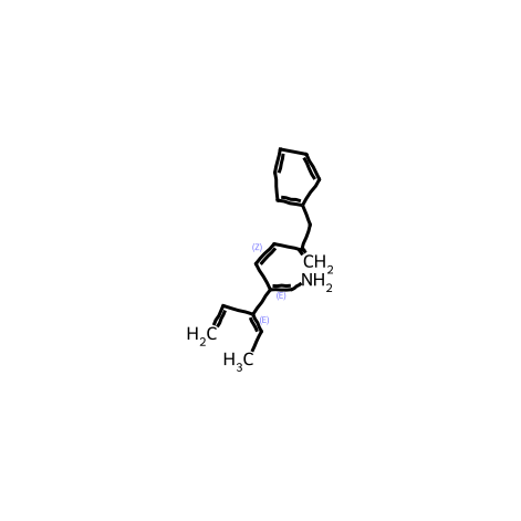 C=CC(=C\C)/C(/C=C\C(=C)Cc1ccccc1)=C/N